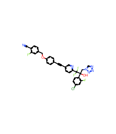 N#Cc1ccc(COc2ccc(C#Cc3ccc(C(F)(F)C(O)(Cn4cnnn4)c4ccc(Cl)cc4F)nc3)cc2)cc1F